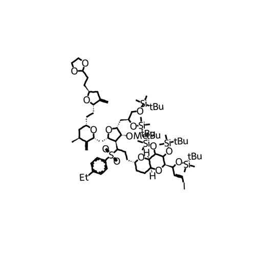 C=C1C[C@H](CCC2OCCO2)O[C@H]1CC[C@H]1C[C@H](C)C(=C)[C@@H](C[C@@H]2O[C@H](C[C@@H](CO[Si](C)(C)C(C)(C)C)O[Si](C)(C)C(C)(C)C)[C@H](OC)[C@H]2C(CC[C@H]2CC[C@@H]3O[C@H](C(/C=C/I)O[Si](C)(C)C(C)(C)C)C(O[Si](C)(C)C(C)(C)C)C(O[Si](C)(C)C(C)(C)C)[C@@H]3O2)S(=O)(=O)c2ccc(CC)cc2)O1